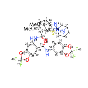 COc1ccc2nc(N3C4CC3CN(C3CC(OC)C3)C4)sc2c1C(=O)Nc1cc2c(cc1C(=O)Nc1ccc3c(c1)OC(F)(F)O3)OC(F)(F)O2